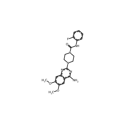 COc1cc2nc(N3CCN(C(=O)Nc4ccccc4F)CC3)nc(N)c2cc1OC